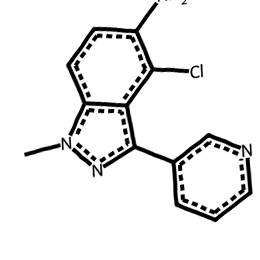 Cn1nc(-c2cccnc2)c2c(Cl)c(N)ccc21